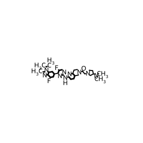 Cc1nc2c(F)cc(-c3nc(Nc4ccc5c(n4)CCN(C(=O)CN4CCC(N(C)C)C4)C5)ncc3F)cc2n1C(C)C